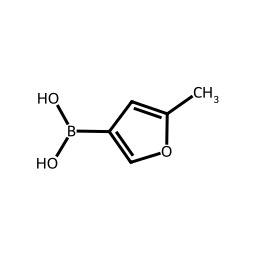 Cc1cc(B(O)O)co1